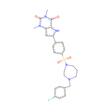 Cn1c(=O)c2[nH]c(-c3ccc(S(=O)(=O)N4CCCN(Cc5ccc(F)cc5)CC4)cc3)cc2n(C)c1=O